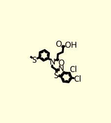 CSc1cccc(N(Cc2nc3c(Cl)c(Cl)ccc3s2)C(=O)CCC(=O)O)c1